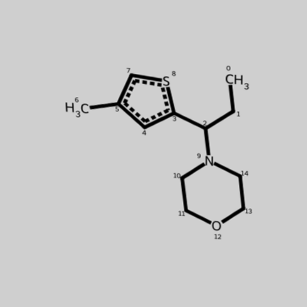 CCC(c1cc(C)cs1)N1CCOCC1